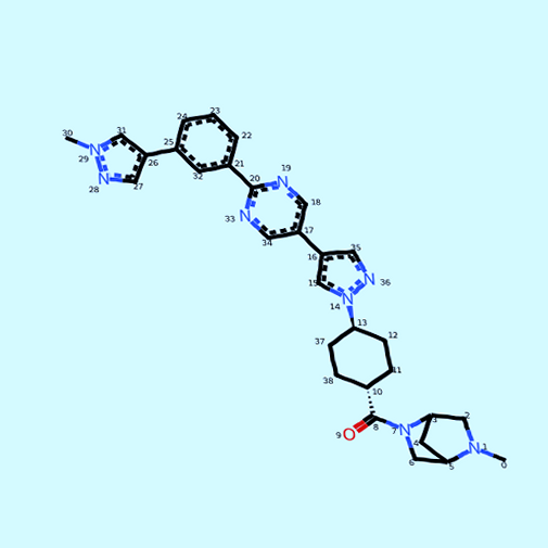 CN1CC2CC1CN2C(=O)[C@H]1CC[C@H](n2cc(-c3cnc(-c4cccc(-c5cnn(C)c5)c4)nc3)cn2)CC1